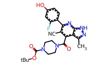 Cc1n[nH]c2nc(-c3ccc(O)cc3F)c(C#N)c(C(=O)N3CCN(C(=O)OC(C)(C)C)CC3)c12